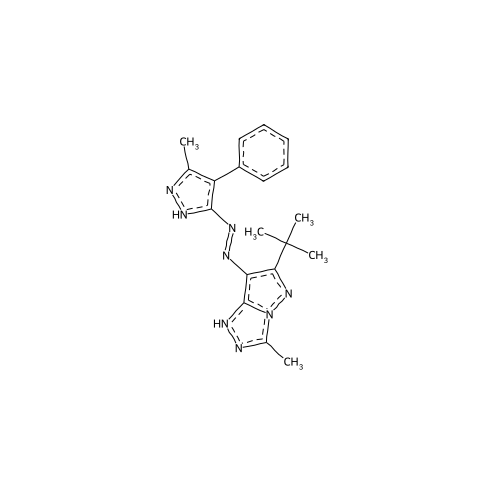 Cc1n[nH]c(N=Nc2c(C(C)(C)C)nn3c(C)n[nH]c23)c1-c1ccccc1